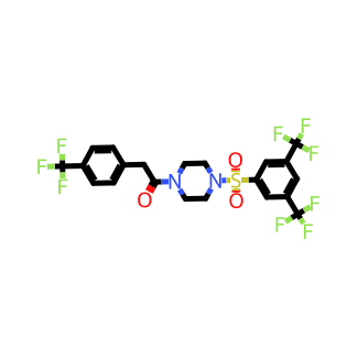 O=C(Cc1ccc(C(F)(F)F)cc1)N1CCN(S(=O)(=O)c2cc(C(F)(F)F)cc(C(F)(F)F)c2)CC1